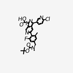 Cc1cc(CN(C)C(=O)OC(C)(C)C)cc(F)c1-c1cc2c(-c3ccc(Cl)nc3)nn(C(=O)O)c2cn1